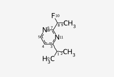 CC(C)c1ccnc(C(C)F)n1